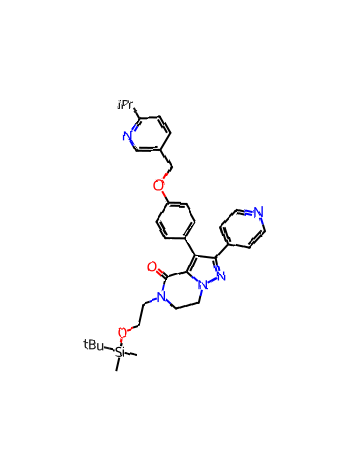 CC(C)c1ccc(COc2ccc(-c3c(-c4ccncc4)nn4c3C(=O)N(CCO[Si](C)(C)C(C)(C)C)CC4)cc2)cn1